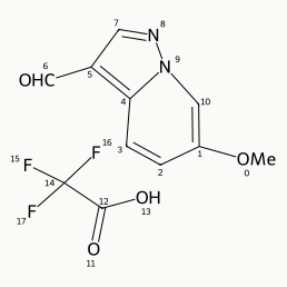 COc1ccc2c(C=O)cnn2c1.O=C(O)C(F)(F)F